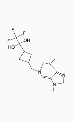 CN1CN=C2C1=CN(CC1CC(C(O)(O)C(F)(F)F)C1)CN2C